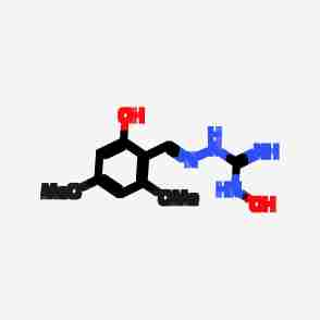 COc1cc(O)c(C=NNC(=N)NO)c(OC)c1